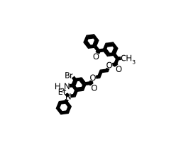 CCN(Cc1cc(C(=O)OCCCOC(=O)C(C)c2cccc(C(=O)c3ccccc3)c2)cc(Br)c1N)C1CCCCC1